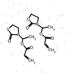 C=CC(=O)OC(C)N1CCOC1=O.C=CC(=O)OC(C)N1CCSC1=O